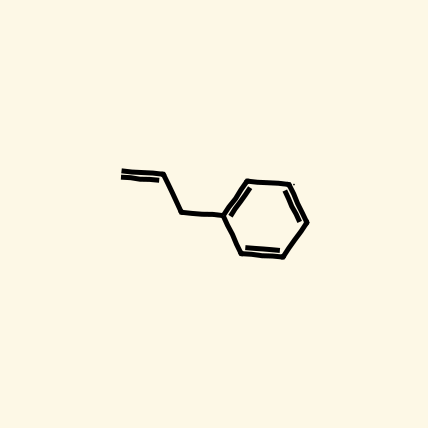 C=CCc1c[c]ccc1